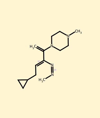 C=C(C(=C/CC1CC1)/N=N\C)N1CCN(C)CC1